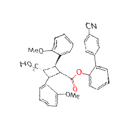 COc1ccccc1C1C(C(=O)Oc2ccccc2-c2ccc(C#N)cc2)[C@H](c2ccccc2OC)[C@H]1C(=O)O